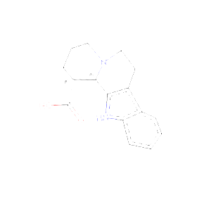 C[C@@]12c3[nH]c4ccccc4c3CCN1CCC[C@H]2C(=O)O